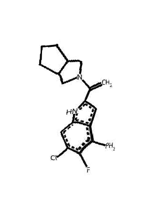 C=C(c1cc2c(P)c(F)c(Cl)cc2[nH]1)N1CC2CCCC2C1